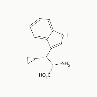 N[C@H](C(=O)O)[C@@H](c1c[nH]c2ccccc12)C1CC1